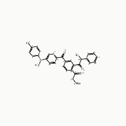 CN(c1ccc(Cl)cc1)c1ccc(C(=O)c2ccc(C(=O)CC(C)(C)C)c(C(=O)C(O)c3ccccc3)c2)nc1